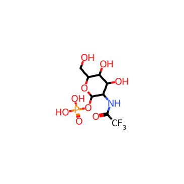 O=C(NC1C(OP(=O)(O)O)OC(CO)C(O)C1O)C(F)(F)F